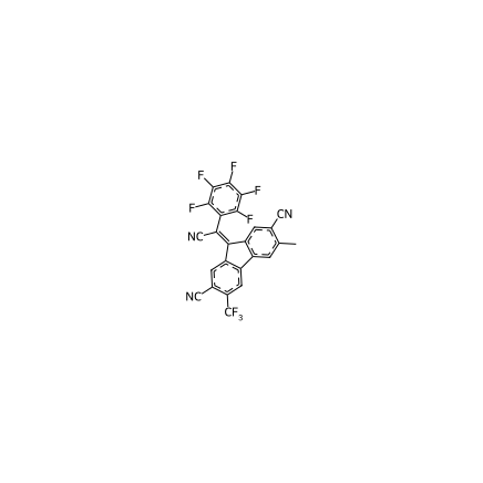 Cc1cc2c(cc1C#N)/C(=C(/C#N)c1c(F)c(F)c(F)c(F)c1F)c1cc(C#N)c(C(F)(F)F)cc1-2